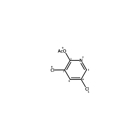 CC(=O)Oc1ncc(Cl)cc1Cl